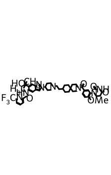 COc1ccc(C(=O)N2CCC3(CCC(CCN4CCC(n5cc6cc(NC(=O)c7cccc(C(F)(F)F)n7)c(C(C)(C)O)cc6n5)CC4)CC3)CC2)cc1N1CCC(=O)NC1=O